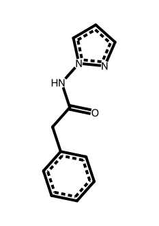 O=C(Cc1ccccc1)Nn1cccn1